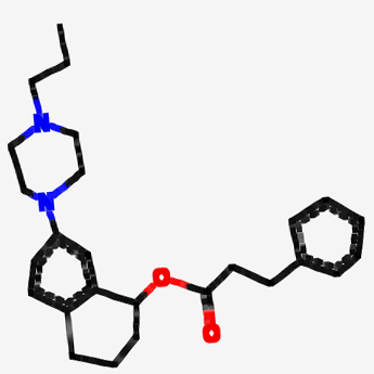 CCCN1CCN(c2ccc3c(c2)C(OC(=O)CCc2ccccc2)CCC3)CC1